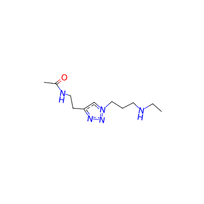 CCNCCCn1cc(CCNC(C)=O)nn1